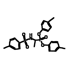 Cc1ccc(OP(=O)(Oc2ccc(C)cc2)C(C)NS(=O)(=O)c2ccc(C)cc2)cc1